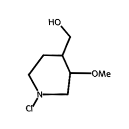 COC1CN(Cl)CCC1CO